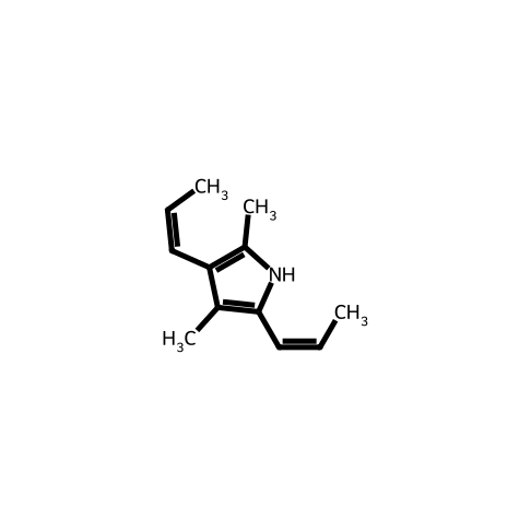 C/C=C\c1[nH]c(C)c(/C=C\C)c1C